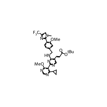 COc1cc(CNc2nc(-c3c(OC)ncnc3C3CC3)ncc2/C=C/C(=O)OC(C)(C)C)ccc1-c1nc(C(F)(F)F)cn1C